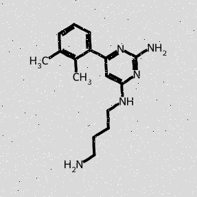 Cc1cccc(-c2cc(NCCCCN)nc(N)n2)c1C